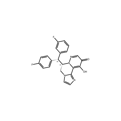 O=c1cnn2c(c1O)-c1nccn1C[C@@H]2[C@H](c1ccc(F)cc1)c1cccc(F)c1